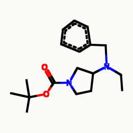 CCN(Cc1ccccc1)C1CCN(C(=O)OC(C)(C)C)C1